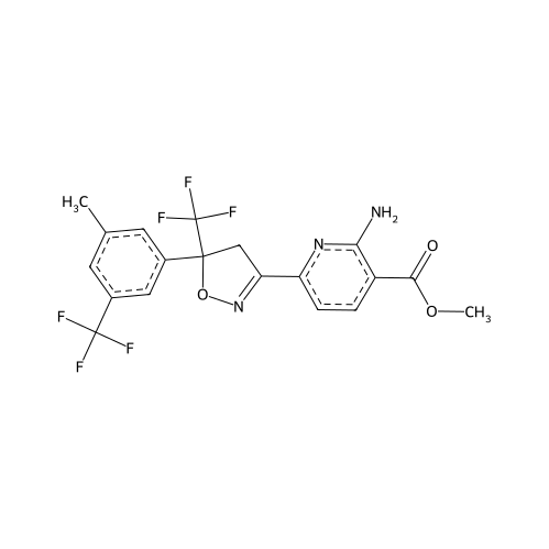 COC(=O)c1ccc(C2=NOC(c3cc(C)cc(C(F)(F)F)c3)(C(F)(F)F)C2)nc1N